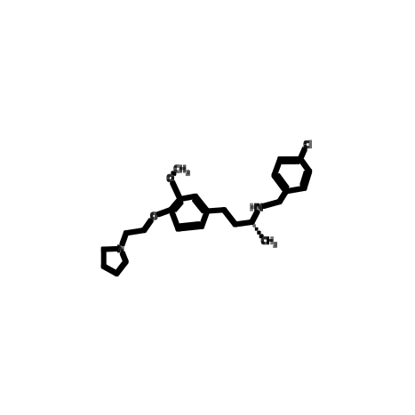 COc1cc(CC[C@@H](C)NCc2ccc(Cl)cc2)ccc1OCCN1CCCC1